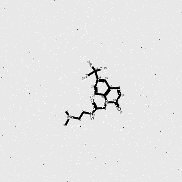 CN(C)CCNC(=O)Cn1c(=O)ccc2cc(C(F)(F)F)ccc21